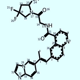 CC(=Cc1ccc2nccc(C(=O)NCC(=O)N3CC(F)(F)CC3C#N)c2c1)C1=CN2C=CNC2C=C1